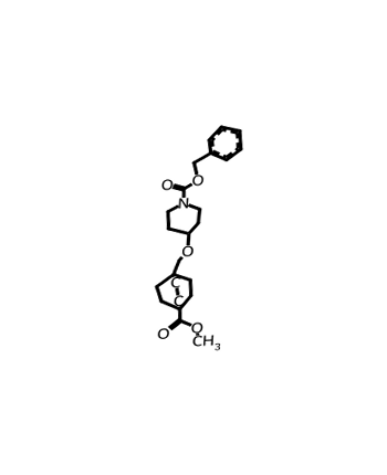 COC(=O)C12CCC(COC3CCN(C(=O)OCc4ccccc4)CC3)(CC1)CC2